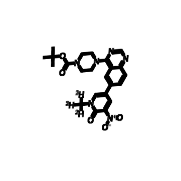 [2H]C([2H])([2H])n1cc(-c2ccc3ncnc(N4CCN(C(=O)OC(C)(C)C)CC4)c3c2)cc([N+](=O)[O-])c1=O